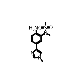 CN(c1cc(-c2cn(C)cn2)ccc1N)S(C)(=O)=O